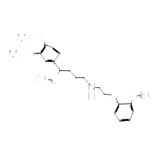 CCOc1ccccc1OCCNCCCC(OCC)c1ccc(OC)c(OC)c1